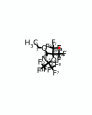 CCOC1=NC(C(F)(F)F)(C(F)(F)F)OC1(C(F)(F)F)C(F)(F)F